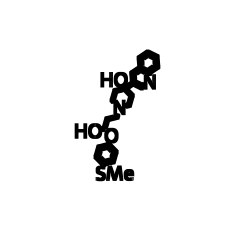 CSc1ccc(OC(O)CCN2CCC(O)(c3cnc4ccccc4c3)CC2)cc1